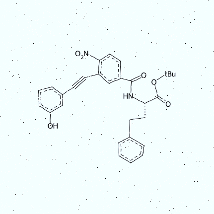 CC(C)(C)OC(=O)[C@H](CCc1ccccc1)NC(=O)c1ccc([N+](=O)[O-])c(C#Cc2cccc(O)c2)c1